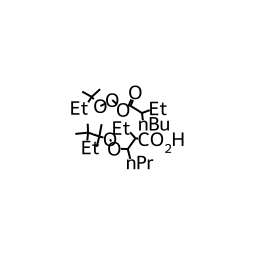 CCCC(OOC(C)(C)C(C)(C)CC)C(CC)C(=O)O.CCCCC(CC)C(=O)OOOC(C)(C)CC